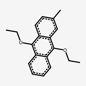 CCOc1c2ccccc2c(OCC)c2cc(C)ccc12